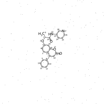 CC(Oc1ccc2c(-c3ccccc3)cc(=O)oc2c1)C(=O)Nc1cccnc1